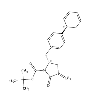 C=C1C[C@@H](Cc2ccc([C@H]3C=CC=CC3)cc2)N(C(=O)OC(C)(C)C)C1=O